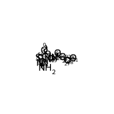 CCOC(=O)c1csc2nc(N)nc(N3CC4CC3CN4C(=O)COc3cccc(OC)c3)c12